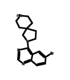 Brc1ccc2ncnc(N3CCC4(CCNCC4)C3)c2c1